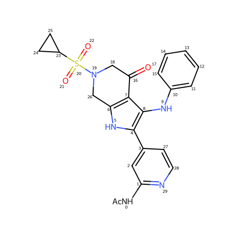 CC(=O)Nc1cc(-c2[nH]c3c(c2Nc2ccccc2)C(=O)CN(S(=O)(=O)C2CC2)C3)ccn1